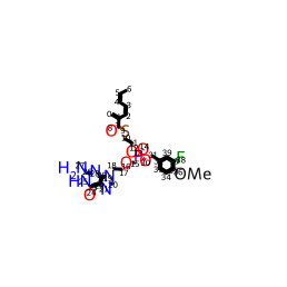 C=C(/C=C\C=C/C)C(=O)SCCOP(=O)(COCCn1cnc2c(=O)[nH]c(N)nc21)OCc1ccc(OC)c(F)c1